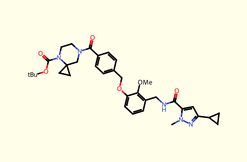 COc1c(CNC(=O)c2cc(C3CC3)nn2C)cccc1OCc1ccc(C(=O)N2CCN(C(=O)OC(C)(C)C)C3(CC3)C2)cc1